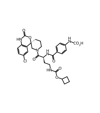 O=C(O)Nc1ccc(C(=O)N[C@@H](CCNC(=O)OC2CCC2)C(=O)N2CCC[C@@]3(C2)OC(=O)Nc2ccc(Cl)cc23)cc1